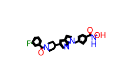 O=C(NO)c1ccc(Cn2ccc3cc(C4CCN(C(=O)c5cccc(F)c5)CC4)cnc32)cc1